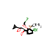 CSc1c(Br)ccc(C(=O)CC(=O)C2CC2)c1OCCF